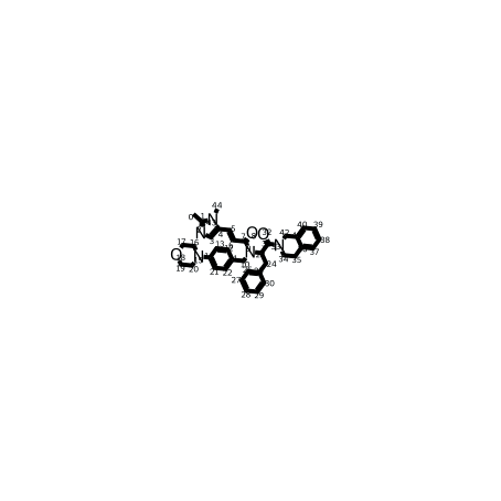 Cc1ncc(C=CC(=O)N(Cc2ccc(N3CCOCC3)cc2)C(Cc2ccccc2)C(=O)N2CCc3ccccc3C2)n1C